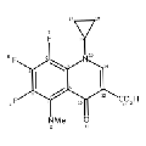 CNc1c(F)c(F)c(F)c2c1c(=O)c(C(=O)O)cn2C1CC1